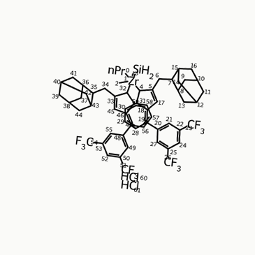 CC[CH2][Zr]([CH3])(=[SiH2])([CH]1C(CC2C3CC4CC(C3)CC2C4)=Cc2c(-c3cc(C(F)(F)F)cc(C(F)(F)F)c3)cccc21)[CH]1C(CC2C3CC4CC(C3)CC2C4)=Cc2c(-c3cc(C(F)(F)F)cc(C(F)(F)F)c3)cccc21.Cl.Cl